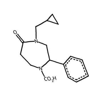 O=C1CCN(C(=O)O)C(c2ccccc2)CN1CC1CC1